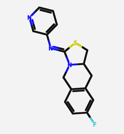 Fc1ccc2c(c1)CC1CSC(=Nc3cccnc3)N1C2